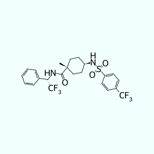 C[C@]1(C(=O)N[C@@H](c2ccccc2)C(F)(F)F)CC[C@H](NS(=O)(=O)c2ccc(C(F)(F)F)cc2)CC1